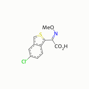 CO/N=C(/C(=O)O)c1scc2cc(Cl)ccc12